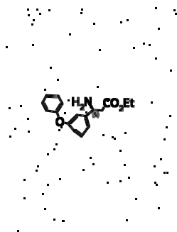 CCOC(=O)C[C@H](N)c1cccc(Oc2ccccc2)c1